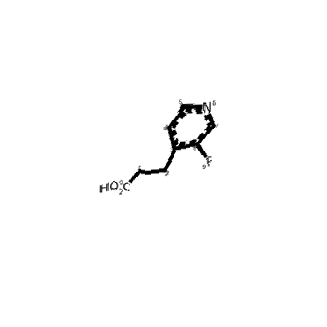 O=C(O)CCc1ccncc1F